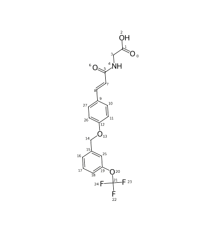 O=C(O)CNC(=O)C=Cc1ccc(OCc2cccc(OC(F)(F)F)c2)cc1